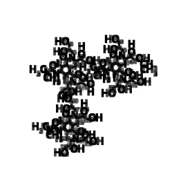 CC.CN(C)C(=O)Nc1c(I)c(C(=O)N(CC(O)CO)CC(O)CO)c(I)c(C(=O)N(CC(O)CO)CC(O)CO)c1I.CN(C)C(=O)Nc1c(I)c(C(=O)N(CC(O)CO)CC(O)CO)c(I)c(C(=O)N(CC(O)CO)CC(O)CO)c1I.CN(C)C(=O)Nc1c(I)c(C(=O)N(CC(O)CO)CC(O)CO)c(I)c(C(=O)N(CC(O)CO)CC(O)CO)c1I